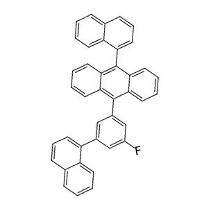 Fc1cc(-c2cccc3ccccc23)cc(-c2c3ccccc3c(-c3cccc4ccccc34)c3ccccc23)c1